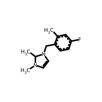 Cc1cc(F)ccc1CN1C=CN(C)C1C